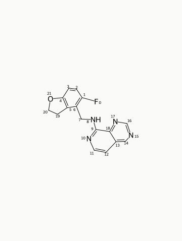 Fc1ccc2c(c1CNc1nccc3cncnc13)CCO2